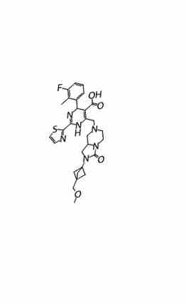 COCC12CC(N3CC4CN(CC5=C(C(=O)O)C(c6cccc(F)c6C)N=C(c6nccs6)N5)CCN4C3=O)(C1)C2